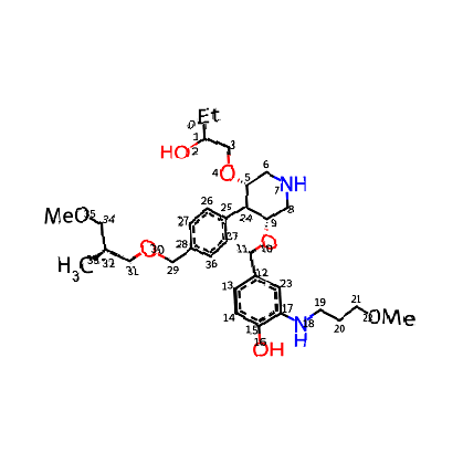 CCC(O)CO[C@@H]1CNC[C@H](OCc2ccc(O)c(NCCCOC)c2)C1c1ccc(COC[C@@H](C)COC)cc1